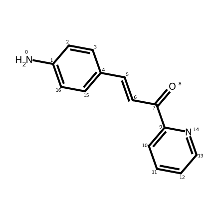 Nc1ccc(C=CC(=O)c2ccccn2)cc1